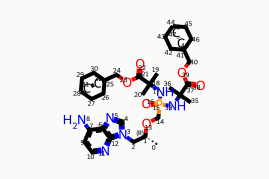 C[C@H](Cn1cnc2c(N)ccnc21)OCP(=O)(NC(C)(C)C(=O)OCC12CCC(CC1)CC2)NC(C)(C)C(=O)OCC12CCC(CC1)CC2